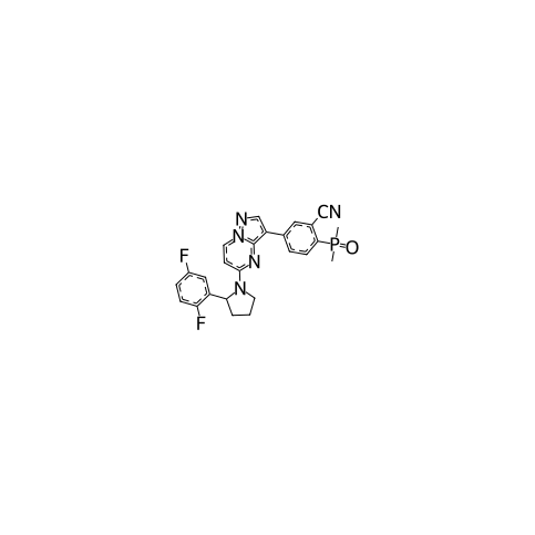 CP(C)(=O)c1ccc(-c2cnn3ccc(N4CCCC4c4cc(F)ccc4F)nc23)cc1C#N